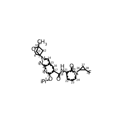 CC(C)Oc1nc2nn(C34COC(C)(C3)C4)cc2cc1C(=O)Nc1cccn(C2CC2F)c1=O